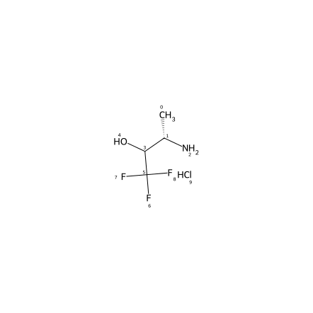 C[C@H](N)C(O)C(F)(F)F.Cl